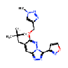 Cn1cc(COc2nn3c(-c4ccon4)nnc3cc2CC(C)(C)C)nn1